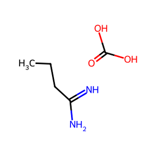 CCCC(=N)N.O=C(O)O